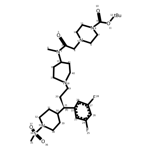 CN(C(=O)CN1CCN(C(=O)OC(C)(C)C)CC1)C1CCN(CC[C@@H](c2cc(F)cc(F)c2)C2CCN(S(C)(=O)=O)CC2)CC1